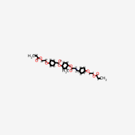 C=CC(=O)OCCOc1ccc(/C=C/C(=O)Oc2ccc(OC(=O)c3ccc(OCCOC(=O)C=C)cc3)cc2C)cc1